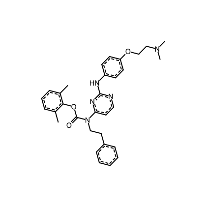 Cc1cccc(C)c1OC(=O)N(CCc1ccccc1)c1ccnc(Nc2ccc(OCCN(C)C)cc2)n1